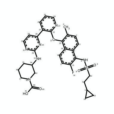 Cc1ccc2c(NS(=O)(=O)CCC3CC3)c(F)ccc2c1Oc1ncccc1-c1ccnc(NC2CCCN(C(=O)O)C2)n1